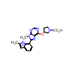 Cc1cc2cccc(-c3nc4c(OC5CCN(C(=O)O)C5)ncnc4n3C)c2[nH]1